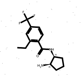 CCc1cc(C(F)(F)F)ccc1C(=O)N[C@H]1CCC[C@H]1N